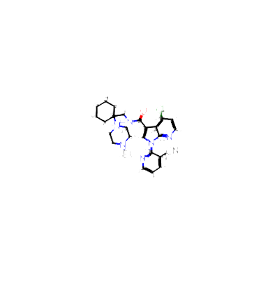 CCN1CCN(C2(CNC(=O)c3cn(-c4ncccc4C#N)c4nccc(Cl)c34)CCCCC2)CC1